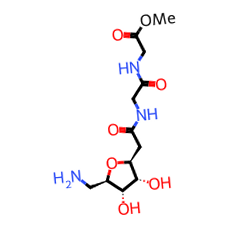 COC(=O)CNC(=O)CNC(=O)C[C@@H]1O[C@H](CN)[C@@H](O)[C@H]1O